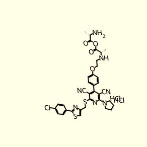 C[C@H](N)C(=O)OC(=O)[C@H](C)NCCOc1ccc(-c2c(C#N)c(SCc3csc(-c4ccc(Cl)cc4)n3)nc(N3CCCC3)c2C#N)cc1.Cl.Cl